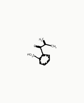 C=C(C)C(=O)c1ccccc1S(=O)(=O)O